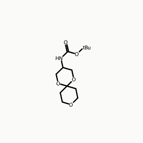 CC(C)(C)OC(=O)NC1COC2(CCOCC2)OC1